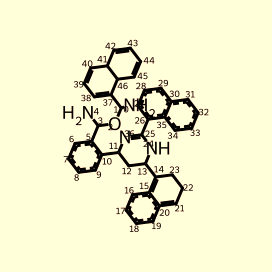 NC(OC(N)c1ccccc1C1CC(C2=c3ccccc3=CCC2)NC(c2cccc3ccccc23)=N1)C1=CC=CC2C=CC=CC12